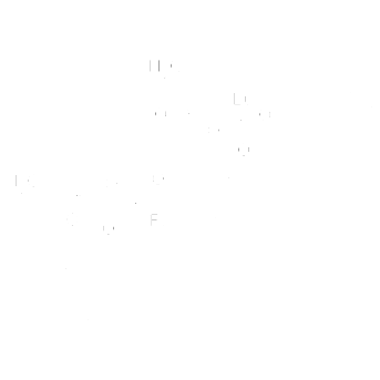 C=CC(=O)OC(CC)(Oc1cccc(OC(CC)(OC(=O)C=C)Oc2cccc3ccccc23)c1)Oc1cccc2ccccc12